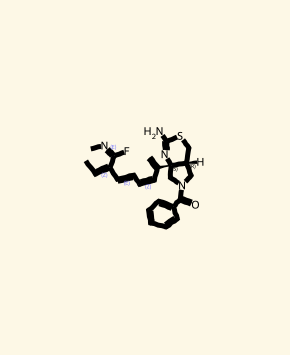 C=C(\C=C/C=C/C(=C/C)C(/F)=N\C)[C@]12CN(C(=O)c3ccccc3)C[C@H]1CSC(N)=N2